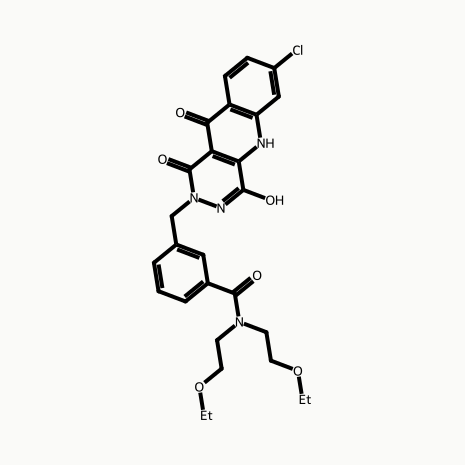 CCOCCN(CCOCC)C(=O)c1cccc(Cn2nc(O)c3[nH]c4cc(Cl)ccc4c(=O)c3c2=O)c1